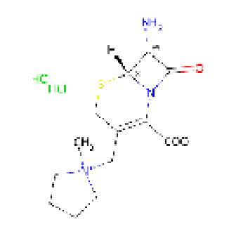 C[N+]1(CC2=C(C(=O)[O-])N3C(=O)[C@@H](N)[C@H]3SC2)CCCC1.Cl.Cl